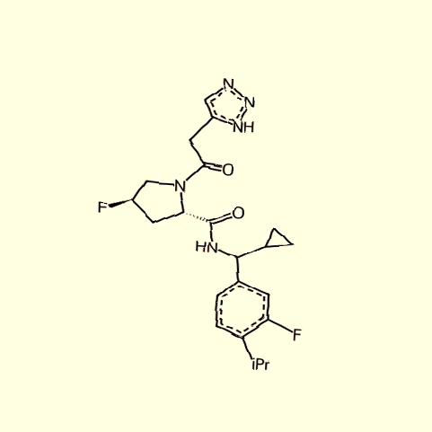 CC(C)c1ccc(C(NC(=O)[C@@H]2C[C@@H](F)CN2C(=O)Cc2cnn[nH]2)C2CC2)cc1F